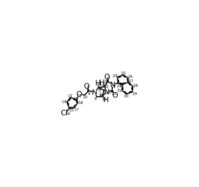 O=C1[C@@H]2[C@@H]3C[C@@H](CN3C(=O)COc3ccc(Cl)cc3)N2C(=O)N1c1cccc2ccccc12